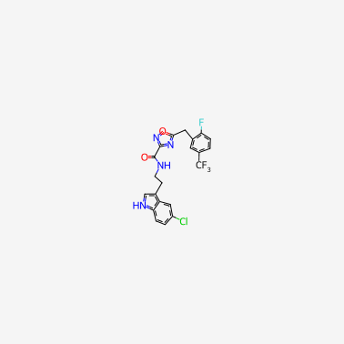 O=C(NCCc1c[nH]c2ccc(Cl)cc12)c1noc(Cc2cc(C(F)(F)F)ccc2F)n1